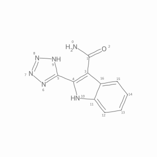 NC(=O)c1c(-c2nnn[nH]2)[nH]c2ccccc12